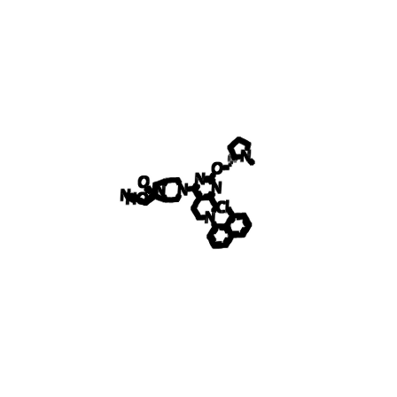 CN1CCC[C@H]1COc1nc2c(c(N3CC4CC(=CC#N)C(C3)N4C(=O)O)n1)CCN(c1cccc3cccc(Cl)c13)C2